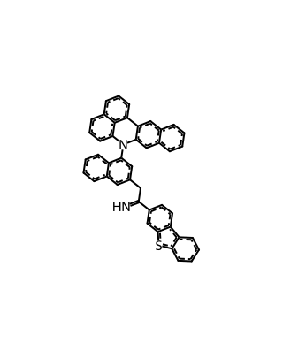 N=C(Cc1cc(N2c3cc4ccccc4cc3-c3cccc4cccc2c34)c2ccccc2c1)c1ccc2c(c1)sc1ccccc12